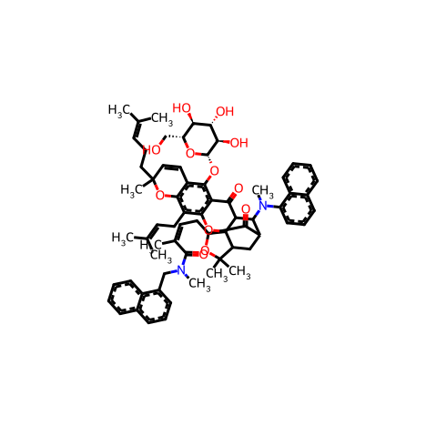 CC(C)=CCCC1(C)C=Cc2c(c(CC=C(C)C)c3c(c2O[C@@H]2O[C@H](CO)[C@@H](O)[C@H](O)[C@H]2O)C(=O)C2C(N(C)c4cccc5ccccc45)C4CC5C(C)(C)OC(C/C=C(/C)C(=O)N(C)Cc6cccc7ccccc67)(C4=O)C25O3)O1